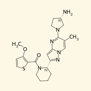 COc1ccsc1C(=O)N1CCCC[C@H]1c1cc2nc(N3CC[C@H](N)C3)c(C)cn2n1